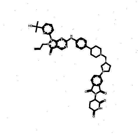 C=CCn1c(=O)c2cnc(Nc3ccc(C4CCN(C[C@H]5CCN(c6ccc7c(c6)C(=O)N(C6CCC(=O)NC6=O)C7=O)C5)CC4)cc3)nc2n1-c1cccc(C(C)(C)O)n1